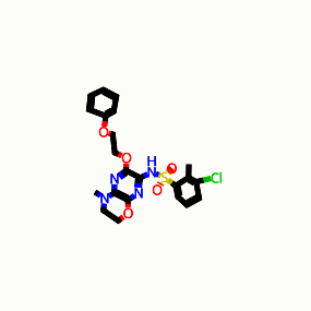 Cc1c(Cl)cccc1S(=O)(=O)Nc1nc2c(nc1OCCOc1ccccc1)N(C)CCO2